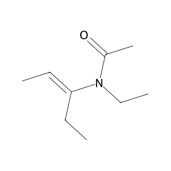 C/C=C(\CC)N(CC)C(C)=O